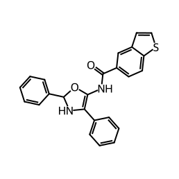 O=C(NC1=C(c2ccccc2)NC(c2ccccc2)O1)c1ccc2sccc2c1